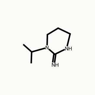 CC(C)N1CCCNC1=N